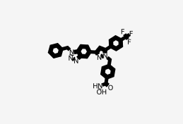 O=C(NO)c1ccc(Cn2nc(-c3ccc4c(c3)nnn4Cc3ccccc3)cc2-c2ccc(C(F)(F)F)cc2)cc1